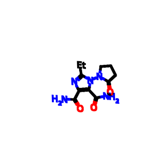 CCc1nc(C(N)=O)c(C(N)=O)n1N1CCCC1=O